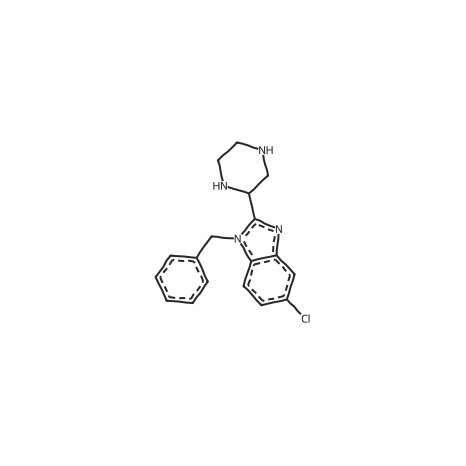 Clc1ccc2c(c1)nc(C1CNCCN1)n2Cc1ccccc1